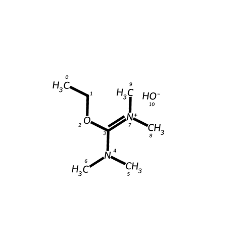 CCOC(N(C)C)=[N+](C)C.[OH-]